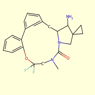 CN1CC(F)(F)Oc2ccccc2-c2cccc(c2)CC2C(N)C3(CC3)CN2C1=O